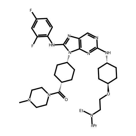 CCCN(CC)CCO[C@H]1CC[C@H](Nc2ncc3nc(Nc4ccc(F)cc4F)n([C@H]4CC[C@@H](C(=O)N5CCN(C)CC5)CC4)c3n2)CC1